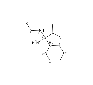 CCNC(N)(C(C)C)[SiH]1CCCCO1